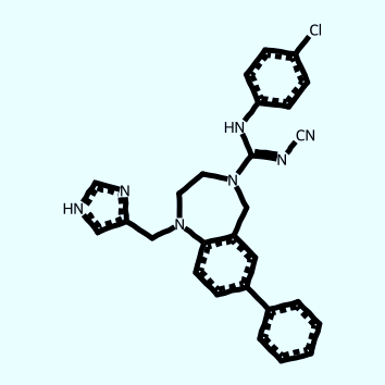 N#CN=C(Nc1ccc(Cl)cc1)N1CCN(Cc2c[nH]cn2)c2ccc(-c3ccccc3)cc2C1